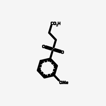 COc1cccc(S(=O)(=O)CCC(=O)O)c1